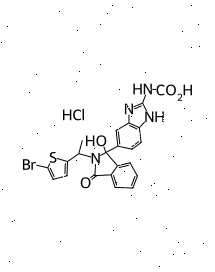 CC(c1ccc(Br)s1)N1C(=O)c2ccccc2C1(O)c1ccc2[nH]c(NC(=O)O)nc2c1.Cl